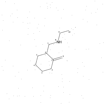 C=C1CCCCC1CNCC